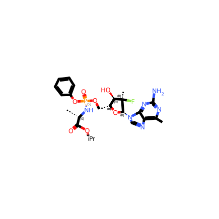 Cc1nc(N)nc2c1ncn2[C@@H]1O[C@H](CO[P@@](=O)(N[C@@H](C)C(=O)OC(C)C)Oc2ccccc2)[C@@H](O)[C@@]1(C)F